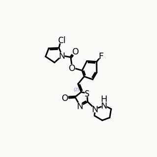 O=C1N=C(N2CCCCN2)S/C1=C\c1ccc(F)cc1OC(=O)N1CCC=C1Cl